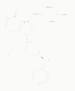 N#CC[C@]1(n2nc(Nc3ccc(CF)cc3)c3c(=O)[nH]ccc32)CC[C@@H](Nc2ccccc2)CC1